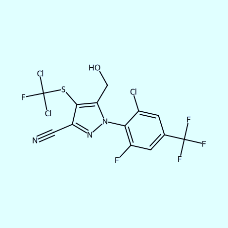 N#Cc1nn(-c2c(F)cc(C(F)(F)F)cc2Cl)c(CO)c1SC(F)(Cl)Cl